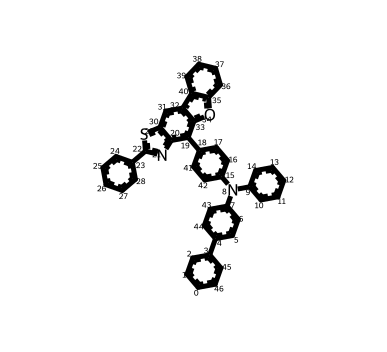 c1ccc(-c2ccc(N(c3ccccc3)c3ccc(-c4c5nc(-c6ccccc6)sc5cc5c4oc4ccccc45)cc3)cc2)cc1